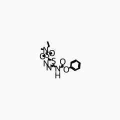 CCN(C)S(=O)(=O)c1nnc(NC(=O)Oc2ccccc2)s1